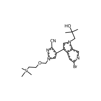 CC(C)(O)Cn1cc(-c2cn(COCC[Si](C)(C)C)nc2C#N)c2cc(Br)ncc21